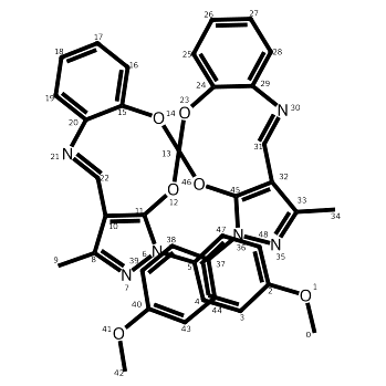 COc1ccc(-n2nc(C)c3c2OC2(Oc4ccccc4/N=C/3)Oc3ccccc3/N=C/c3c(C)nn(-c4ccc(OC)cc4)c3O2)cc1